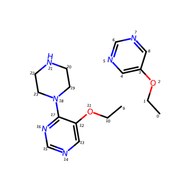 CCOc1cncnc1.CCOc1cncnc1N1CCNCC1